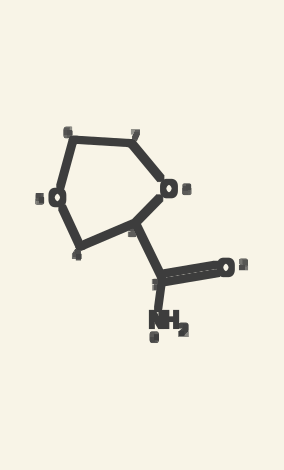 NC(=O)C1COCCO1